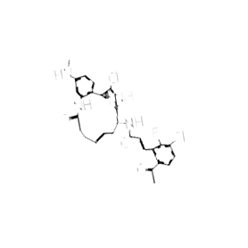 CNc1ccc2c(c1)NC(=O)CC/C=C/C[C@H](NC(=O)/C=C/c1c(C(C)=O)ccc(Cl)c1F)c1nc-2c(Cl)[nH]1